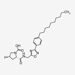 CCCCCCCCCCc1ccc(-c2noc(CNC(=O)[C@@H]3C[C@@H](F)CN3C(=O)O)n2)cc1